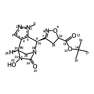 Cn1ncc2c1[C@@H](C1=NOC(C(=O)OC(C)(C)C)C1)N1C[C@@H]2N(O)C1=O